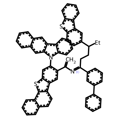 C=C(/N=C(\CCC(CC)c1ccc2sc3ccccc3c2c1)c1cccc(-c2ccccc2)c1)c1cc2c(cc1-n1c3ccccc3c3cc4ccccc4cc31)sc1c3ccccc3ccc21